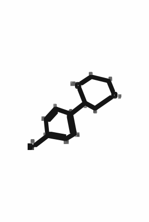 Brc1ccc(C2COCCO2)cc1